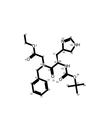 CCOC(=O)CN(Cc1ccccc1)C(=O)[C@@H](CC1CNC=N1)NC(=O)OC(C)(C)C